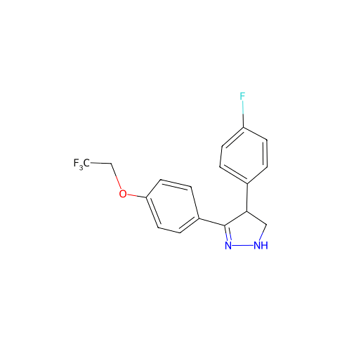 Fc1ccc(C2CNN=C2c2ccc(OCC(F)(F)F)cc2)cc1